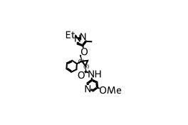 CCn1cc(OC[C@@]2(C3C=CC=CC3)C[C@H]2C(=O)Nc2cncc(OC)c2)c(C)n1